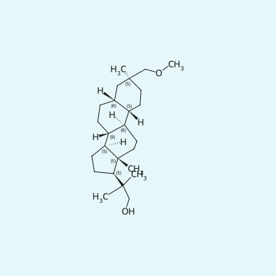 COC[C@@]1(C)CC[C@H]2[C@H](CC[C@@H]3[C@@H]2CC[C@]2(C)[C@@H](C(C)(C)CO)CC[C@@H]32)C1